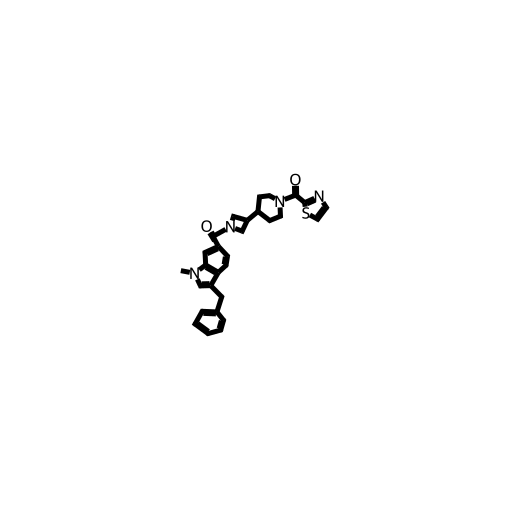 Cn1cc(Cc2ccccc2)c2ccc(C(=O)N3CC(C4CCN(C(=O)c5nccs5)CC4)C3)cc21